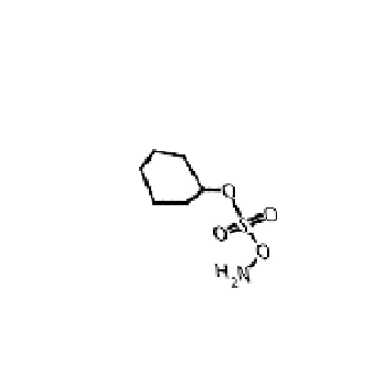 NOS(=O)(=O)OC1CCCCC1